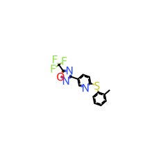 Cc1ccccc1Sc1ccc(-c2noc(C(F)(F)F)n2)cn1